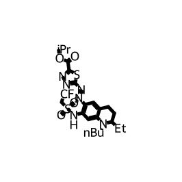 CCCCN1c2cc(NS(=O)(=O)CC(F)(F)F)c(N=Nc3nnc(C(=O)OC(C)C)s3)cc2CCC1CC